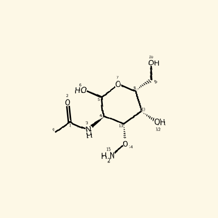 CC(=O)N[C@H]1C(O)O[C@H](CO)[C@H](O)[C@@H]1ON